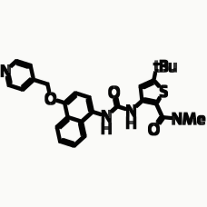 CNC(=O)c1sc(C(C)(C)C)cc1NC(=O)Nc1ccc(OCc2ccncc2)c2ccccc12